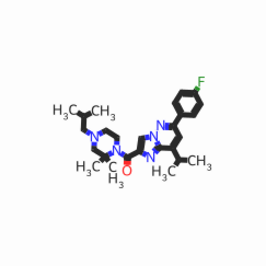 C[C](C)CN1CCN(C(=O)c2cn3nc(-c4ccc(F)cc4)cc(C(C)C)c3n2)C(C)(C)C1